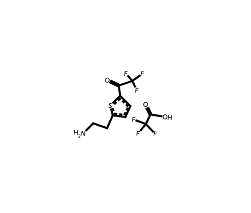 NCCc1ccc(C(=O)C(F)(F)F)s1.O=C(O)C(F)(F)F